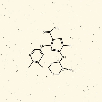 Cc1ncc(Nc2nc(N[C@@H]3CCOC[C@@H]3N)c(F)cc2C(N)=O)cc1F